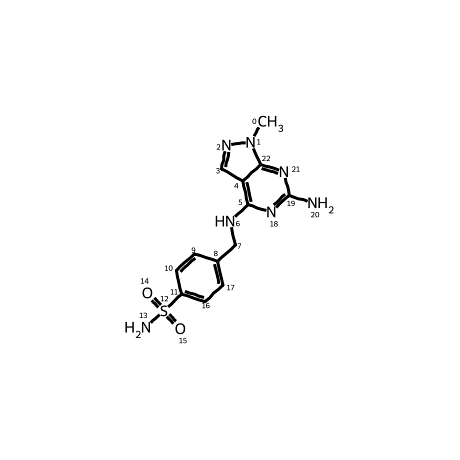 Cn1ncc2c(NCc3ccc(S(N)(=O)=O)cc3)nc(N)nc21